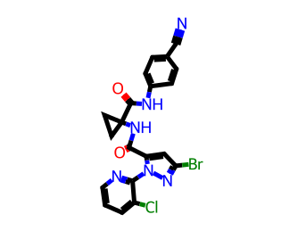 N#Cc1ccc(NC(=O)C2(NC(=O)c3cc(Br)nn3-c3ncccc3Cl)CC2)cc1